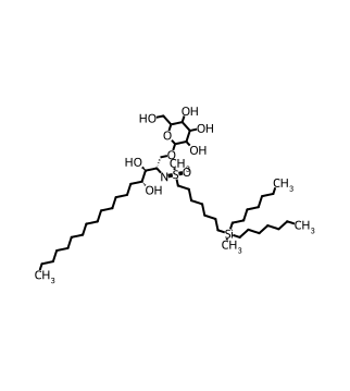 CCCCCCCCCCCCCC[C@@H](O)[C@@H](O)[C@H](COC1OC(CO)C(O)C(O)C1O)N=S(C)(=O)CCCCCCC[Si](C)(CCCCCCC)CCCCCCC